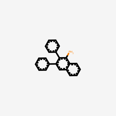 Pc1c(-c2ccccc2)c(-c2ccccc2)cc2ccccc12